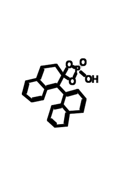 O=P1(O)OC2(CC=c3ccccc3=C2c2cccc3ccccc23)O1